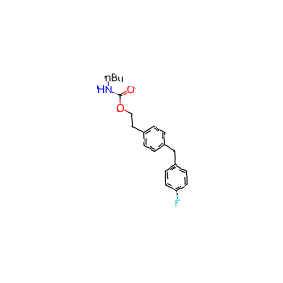 CCCCNC(=O)OCCc1ccc(Cc2ccc(F)cc2)cc1